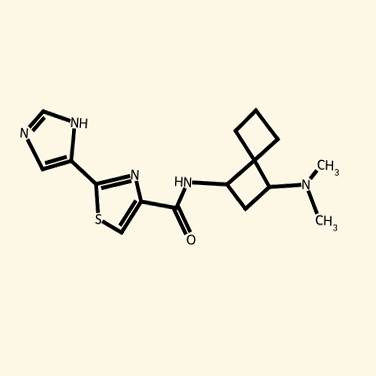 CN(C)C1CC(NC(=O)c2csc(-c3cnc[nH]3)n2)C12CCC2